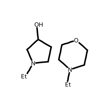 [CH2]CN1CCC(O)C1.[CH2]CN1CCOCC1